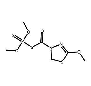 COC1=NN(C(=O)SP(=S)(OC)OC)CS1